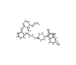 COC1C=CC=C2Oc3ncccc3C(=CCCN3CCC(n4c(=O)[nH]c5cc(Cl)ccc54)CC3)C=C21